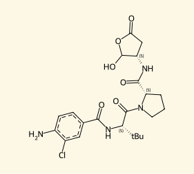 CC(C)(C)[C@H](NC(=O)c1ccc(N)c(Cl)c1)C(=O)N1CCC[C@H]1C(=O)N[C@H]1CC(=O)OC1O